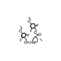 CCOc1cc(F)c(CO)c(F)c1.CCOc1cc(F)c(COC(=O)N2CCNC[C@H]2CC)c(F)c1